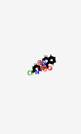 O=C(O)C1c2ccccc2CCN1S(=O)(=O)c1ccc(Cl)nc1